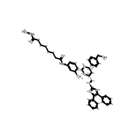 CC1C=C(NC(=O)CCCCCCC(=O)NO)C=C[C@@H]1C1O[C@@H](CSc2nc(-c3ccccc3)c(-c3ccccc3)o2)C[C@@H](c2ccc(CO)cc2)O1